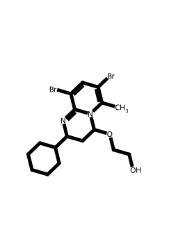 CC1=C(Br)C=C(Br)C2=NC(C3CCCCC3)CC(OCCO)N21